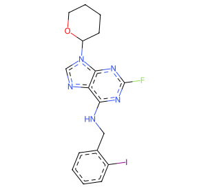 Fc1nc(NCc2ccccc2I)c2ncn(C3CCCCO3)c2n1